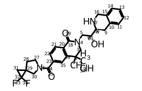 CC1(C)CN(C[C@@H](O)[C@@H]2Cc3ccccc3CN2)C(=O)c2ccc(C(=O)N3CCC4(C3)CC4(F)F)cc21.Cl